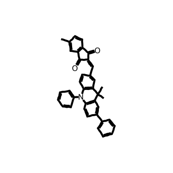 Cc1ccc2c(c1)C(=O)/C(=C\c1ccc3c(c1)C(C)(C)c1cc(-c4ccccc4)ccc1N3c1ccccc1)C2=O